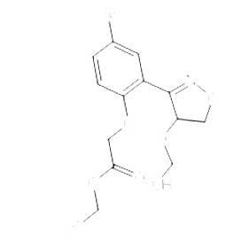 CCOC(=O)COc1ccc(Br)cc1C1=NOCC1OCC